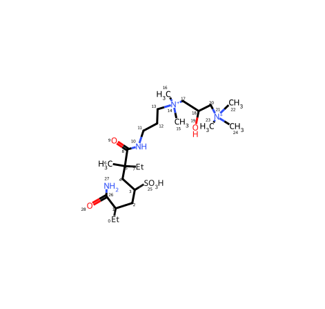 CCC(CC(CC(C)(CC)C(=O)NCCC[N+](C)(C)CC(O)C[N+](C)(C)C)S(=O)(=O)O)C(N)=O